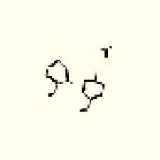 C=C(C)C.C=Cc1ccc(C)cc1.C=Cc1ccccc1C(=O)O